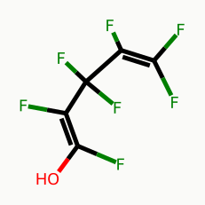 OC(F)=C(F)C(F)(F)C(F)=C(F)F